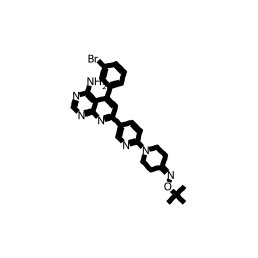 CC(C)(C)ON=C1CCN(c2ccc(-c3cc(-c4cccc(Br)c4)c4c(N)ncnc4n3)cn2)CC1